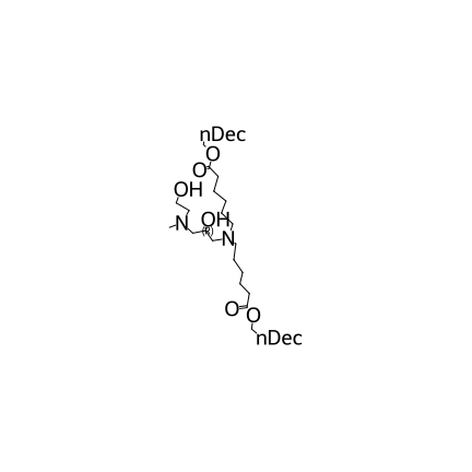 CCCCCCCCCCCOC(=O)CCCCCN(CCCCCC(=O)OCCCCCCCCCCC)C[C@H](O)CN(C)CCO